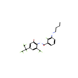 CCCCNc1cccc(C(=O)Nc2c(Br)cc(C(F)(C(F)(F)F)C(F)(F)F)cc2C(F)(F)F)c1F